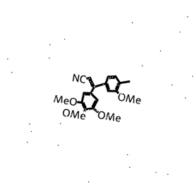 COc1cc(C(=CC#N)c2cc(OC)c(OC)c(OC)c2)ccc1C